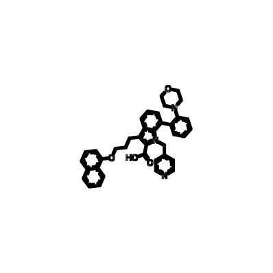 O=C(O)c1c(CCCOc2cccc3ccccc23)c2cccc(-c3ccccc3N3CCOCC3)c2n1Cc1ccncc1